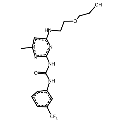 Cc1cc(NCCOCCO)nc(NC(=O)Nc2cccc(C(F)(F)F)c2)n1